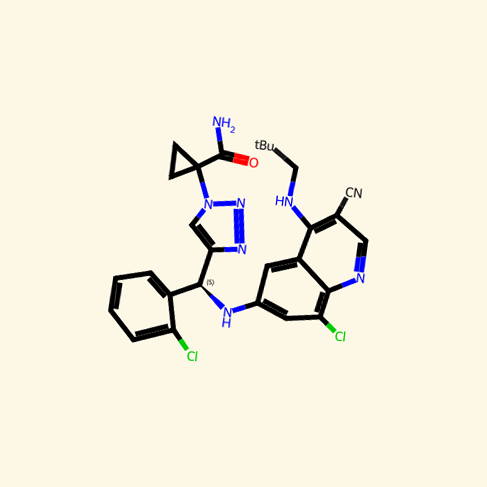 CC(C)(C)CNc1c(C#N)cnc2c(Cl)cc(N[C@H](c3cn(C4(C(N)=O)CC4)nn3)c3ccccc3Cl)cc12